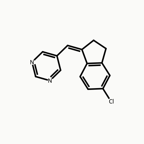 Clc1ccc2c(c1)CC/C2=C/c1cncnc1